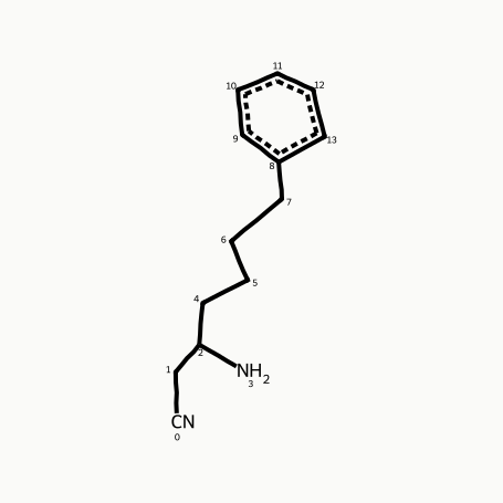 N#CCC(N)CCCCc1ccccc1